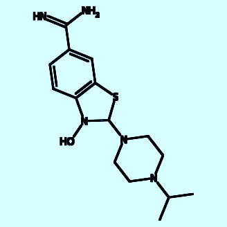 CC(C)N1CCN(C2Sc3cc(C(=N)N)ccc3N2O)CC1